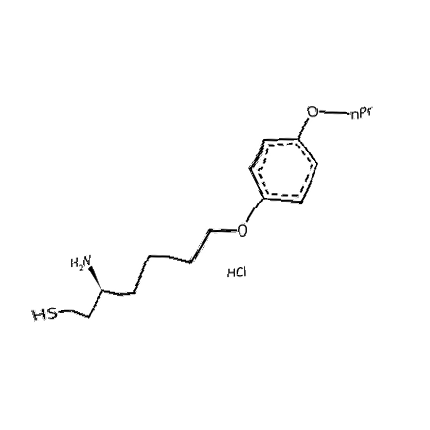 CCCOc1ccc(OCCCC[C@H](N)CS)cc1.Cl